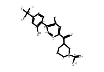 Cc1cc(C(=O)C2CCCN(C(=O)O)C2)nnc1-c1ccc(C(F)(F)F)cc1O